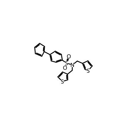 O=S(=O)(c1ccc(-c2ccccc2)cc1)N(Cc1ccsc1)Cc1ccsc1